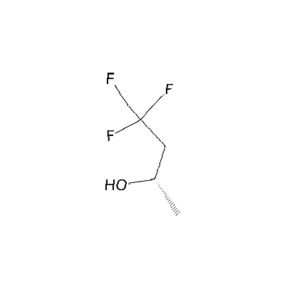 C[C@H](O)CC(F)(F)F